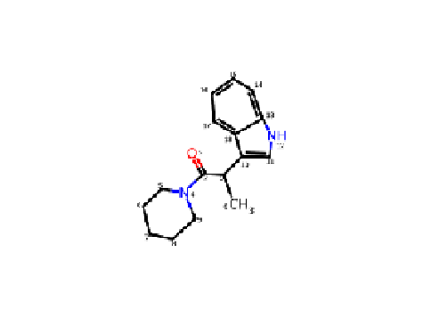 CC(C(=O)N1CCCCC1)c1c[nH]c2ccccc12